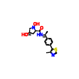 Cc1ncsc1-c1ccc([C@H](C)NC(=O)C2C[C@@H](O)CN2O)cc1